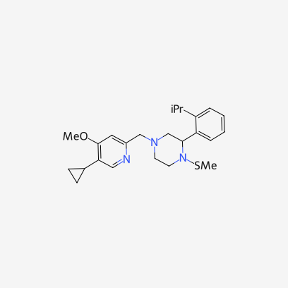 COc1cc(CN2CCN(SC)C(c3ccccc3C(C)C)C2)ncc1C1CC1